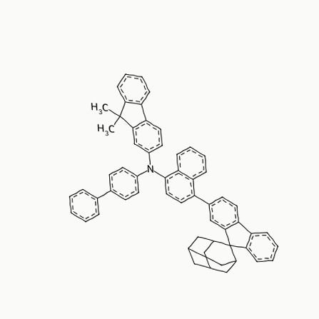 CC1(C)c2ccccc2-c2ccc(N(c3ccc(-c4ccccc4)cc3)c3ccc(-c4ccc5c(c4)C4(c6ccccc6-5)C5CC6CC(C5)CC4C6)c4ccccc34)cc21